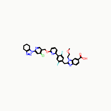 COCCn1c(Cc2cc(F)c(-c3cccc(OCc4cnc(-n5nnc6c5CCCC6)cc4Cl)n3)cc2F)nc2ccc(C(=O)O)cc21